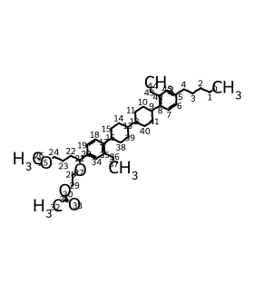 CCCCCc1ccc(C2CCC(C3CCC(c4ccc(C(CCCOC)OCCOC(C)=O)cc4CC)CC3)CC2)c(CC)c1